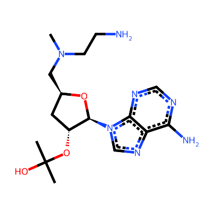 CN(CCN)C[C@@H]1C[C@@H](OC(C)(C)O)[C@H](n2cnc3c(N)ncnc32)O1